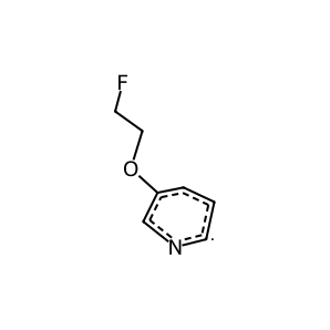 FCCOc1cc[c]nc1